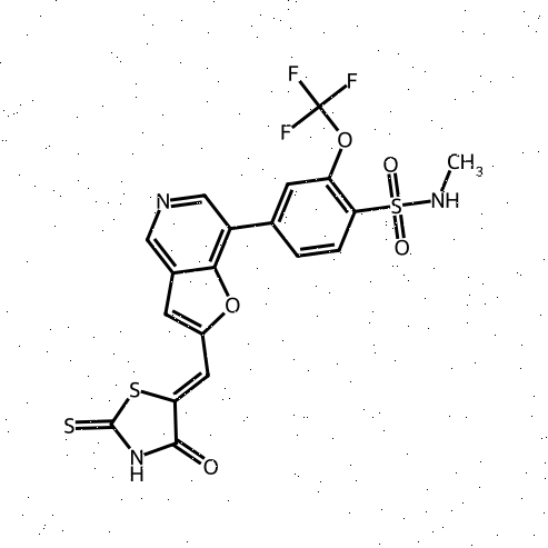 CNS(=O)(=O)c1ccc(-c2cncc3cc(/C=C4\SC(=S)NC4=O)oc23)cc1OC(F)(F)F